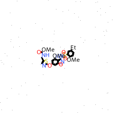 CCc1ccc(OC)c(S(=O)(=O)Nc2noc3cc(Oc4ncc(CNC(=O)OC)s4)cc(OC)c23)c1